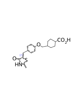 C=c1[nH]c(=O)/c(=C/c2ccc(OCC3CCC(C(=O)O)CC3)cc2)s1